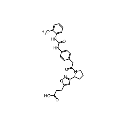 Cc1ccccc1NC(=O)Nc1ccc(CC(=O)N2CCCC2c2cc(CCC(=O)O)on2)cc1